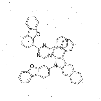 c1ccc(-c2nc(-c3cccc4c3oc3ccccc34)nc(-c3c(-n4c5cc6ccccc6cc5c5c6ccccc6ccc54)ccc4c3oc3ccccc34)n2)cc1